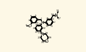 COc1cccc(CN(c2cccc(CN(C)C)c2)c2cccc(N3CCOCC3)c2)c1